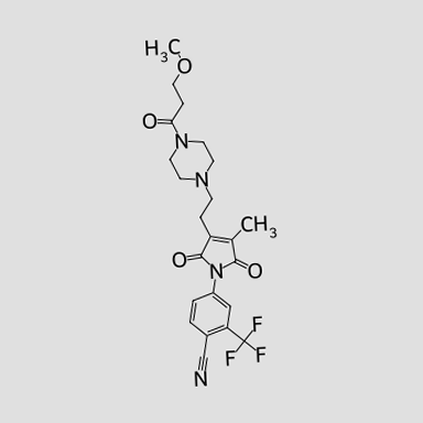 COCCC(=O)N1CCN(CCC2=C(C)C(=O)N(c3ccc(C#N)c(C(F)(F)F)c3)C2=O)CC1